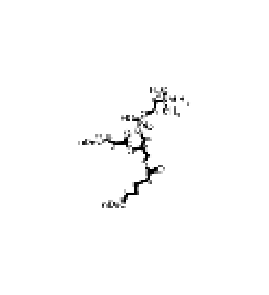 CCCCCCCCCCCCCCC(=O)OCC(COP(=O)(O)OCC[N+](C)(C)C)OC(=O)CCCCCCCCCCCC